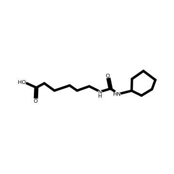 O=C(O)CCCCCNC(=O)NC1CCCCC1